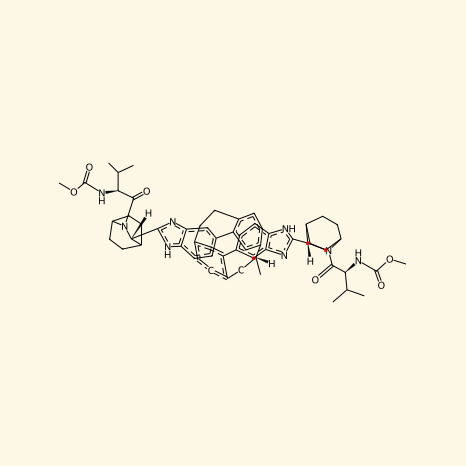 COC(=O)N[C@H](C(=O)N1C2CCC(CC2)[C@H]1c1nc2cc(-c3cc4ccc3CCc3ccc(c(-c5ccc6[nH]c([C@@H]7C8CCC(CC8)N7C(=O)[C@@H](NC(=O)OC)C(C)C)nc6c5)c3)C[C@H]4C)ccc2[nH]1)C(C)C